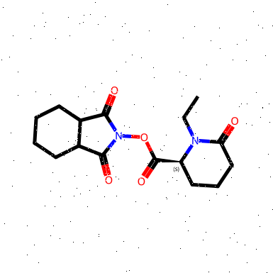 CCN1C(=O)CCC[C@H]1C(=O)ON1C(=O)C2CCCCC2C1=O